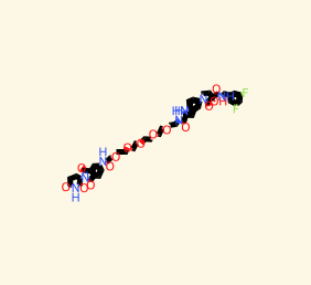 O=C1CCC(N2C(=O)c3ccc(NC(=O)COCCOCCOCCOCCOCCNC(=O)c4cc5cc(N6CC[C@](O)(C(=O)NCc7cc(F)cc(F)c7)C6=O)ccc5[nH]4)cc3C2=O)C(=O)N1